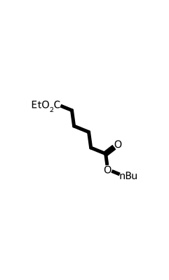 CCCCOC(=O)CCCCC(=O)OCC